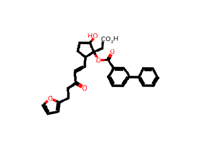 O=C(O)CC1(OC(=O)c2cccc(-c3ccccc3)c2)C(O)CCC1C=CC(=O)CCc1ccco1